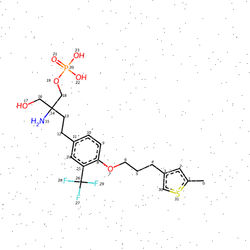 Cc1cc(CCCOc2ccc(CCC(N)(CO)COP(=O)(O)O)cc2C(F)(F)F)cs1